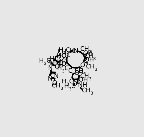 CCNC[C@]1(O)[C@H](C)O[C@@H](O[C@H]2[C@H](C)[C@@H](O[C@@H]3O[C@H](C)C[C@H]4[C@H]3O/C(=N\c3cnc(OC)nc3)N4C)[C@](C)(O)C[C@@H](C)CN[C@H](C)[C@@H](O)[C@](C)(O)[C@@H](CC)OC(=O)[C@@H]2C)C[C@@]1(C)OC